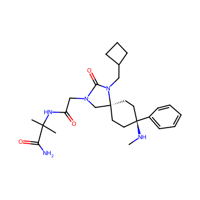 CN[C@]1(c2ccccc2)CC[C@]2(CC1)CN(CC(=O)NC(C)(C)C(N)=O)C(=O)N2CC1CCC1